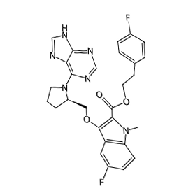 Cn1c(C(=O)OCCc2ccc(F)cc2)c(OC[C@H]2CCCN2c2ncnc3[nH]cnc23)c2cc(F)ccc21